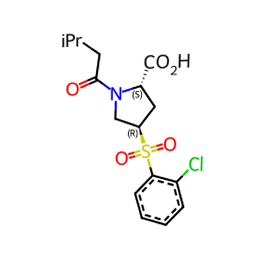 CC(C)CC(=O)N1C[C@H](S(=O)(=O)c2ccccc2Cl)C[C@H]1C(=O)O